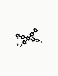 Cc1ccc(-c2cc(-c3ccc(C)cn3)c(-c3ccc(-c4ccccn4)cc3)cc2-c2ccc(-c3ccccn3)cc2)nc1